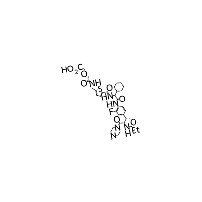 CCC(=O)N[C@@H](C(=O)N1CCN(C)CC1)[C@@H](C)c1ccc(NC(=O)[C@@H](NC(=O)c2ccc(CNC(=O)COCC(=O)O)s2)C2CCCCC2)c(F)c1